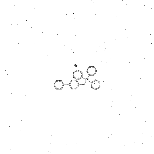 [Br-].c1ccc(-c2ccc(C[P+](c3ccccc3)(c3ccccc3)c3ccccc3)cc2)cc1